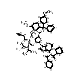 COc1ccc(C(OC[C@H]2O[C@@H](n3cnc4c(N(C(=O)c5ccccc5)C(=O)c5ccccc5)ncnc43)[C@H](OP(OCCC#N)N(C(C)C)C(C)C)[C@@H]2OC)(c2ccccc2)c2ccc(OC)cc2)cc1